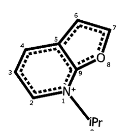 CC(C)[n+]1cccc2ccoc21